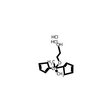 Cl.Cl.[CH2]=[Zr]([CH3])([O]CCO)([C]1=CC=CC1)[C]1=CC=CC1